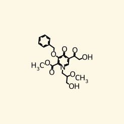 COC(=O)c1c(OCc2ccccc2)c(=O)c(C(=O)CO)cn1CC(CO)OC